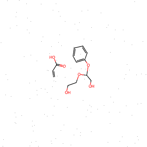 C=CC(=O)O.OCCOC(CO)Oc1ccccc1